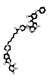 O=C1CCC(N2Cc3cc(N4CCN(CCCCCCC(=O)N5CCC(Nc6ncnc7[nH]cc(C(=O)c8ccc(Oc9ccccc9)cc8Cl)c67)CC5)CC4)ccc3C2=O)C(=O)N1